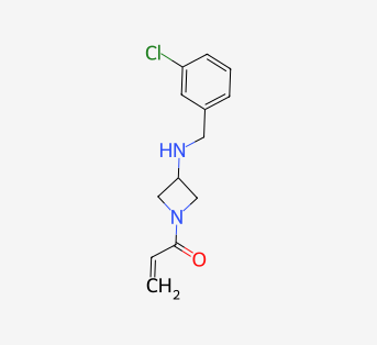 C=CC(=O)N1CC(NCc2cccc(Cl)c2)C1